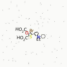 CCN(c1cccc(-c2sc(C(=O)O)c(OCC(=O)O)c2Br)c1)C1CCCCC1